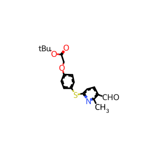 Cc1nc(Sc2ccc(OCC(=O)OC(C)(C)C)cc2)ccc1C=O